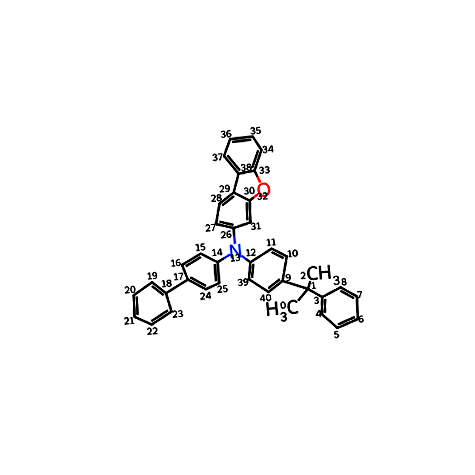 CC(C)(c1ccccc1)c1ccc(N(c2ccc(-c3ccccc3)cc2)c2ccc3c(c2)oc2ccccc23)cc1